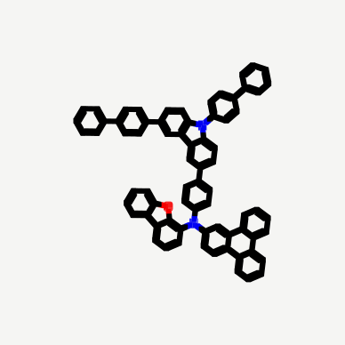 c1ccc(-c2ccc(-c3ccc4c(c3)c3cc(-c5ccc(N(c6ccc7c8ccccc8c8ccccc8c7c6)c6cccc7c6oc6ccccc67)cc5)ccc3n4-c3ccc(-c4ccccc4)cc3)cc2)cc1